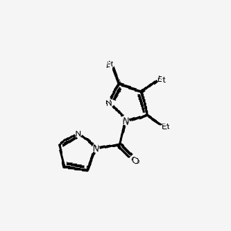 CCc1nn(C(=O)n2cccn2)c(CC)c1CC